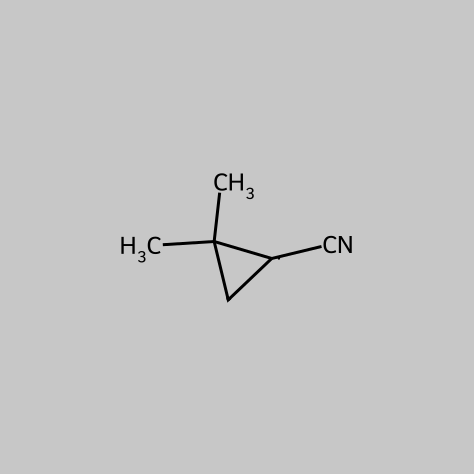 CC1(C)C[C]1C#N